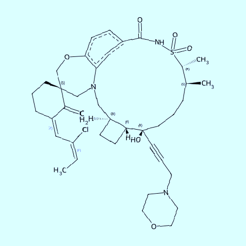 C=C1/C(=C\C(Cl)=C/C)CCC[C@]12COc1ccc3cc1N(C[C@@H]1CC[C@H]1[C@@](O)(C#CCN1CCOCC1)CCC[C@H](C)[C@@H](C)S(=O)(=O)NC3=O)C2